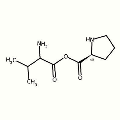 CC(C)C(N)C(=O)OC(=O)[C@@H]1CCCN1